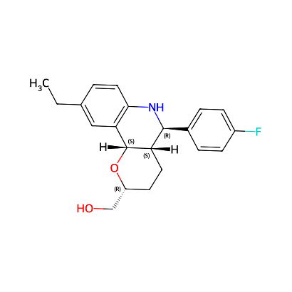 CCc1ccc2c(c1)[C@H]1O[C@@H](CO)CC[C@H]1[C@H](c1ccc(F)cc1)N2